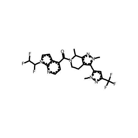 CC1c2nn(C)c(-c3cc(C(F)(F)F)nn3C)c2CCN1C(=O)c1ccnc2c1ccn2C(F)C(F)F